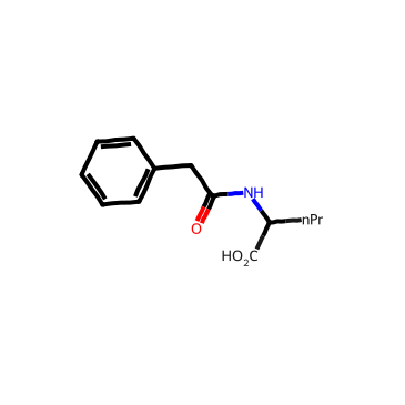 CCCC(NC(=O)Cc1ccccc1)C(=O)O